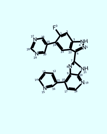 Fc1cc2[nH]nc(-c3nc4c(-c5cccnc5)ccnc4[nH]3)c2cc1-c1cncnc1